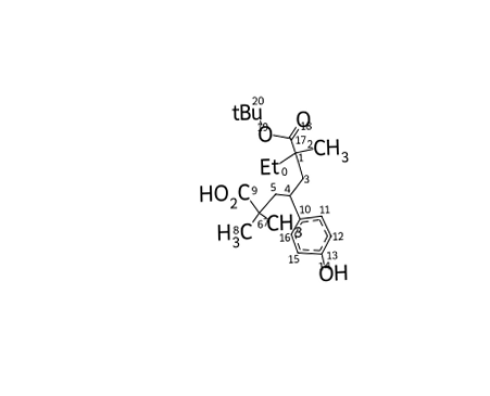 CCC(C)(CC(CC(C)(C)C(=O)O)c1ccc(O)cc1)C(=O)OC(C)(C)C